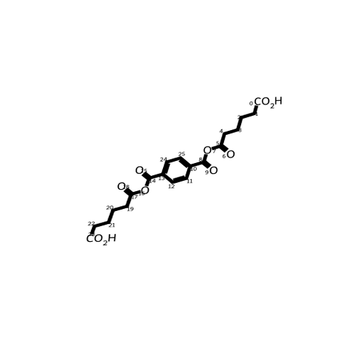 O=C(O)CCCCC(=O)OC(=O)c1ccc(C(=O)OC(=O)CCCCC(=O)O)cc1